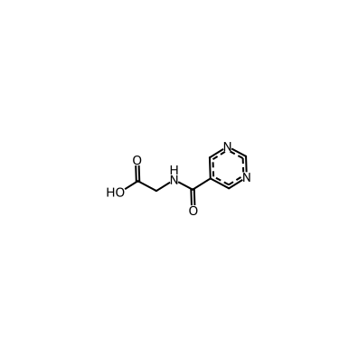 O=C(O)CNC(=O)c1cncnc1